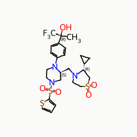 C[C@@](O)(c1ccc(N2CCN(S(=O)(=O)c3cccs3)C[C@@H]2CN2CCS(=O)(=O)C[C@H]2C2CC2)cc1)C(F)(F)F